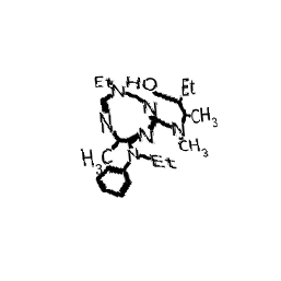 CC[C@H](CO)[C@@H](C)N(C)C1=N/CN(CC)/C=N\C(C)/C(N(CC)c2ccccc2)=N\1